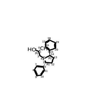 C[C@@H](O)CP1[C@@H](c2ccccc2)CC[C@@H]1c1ccccc1